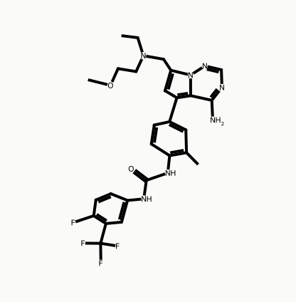 CCN(CCOC)Cc1cc(-c2ccc(NC(=O)Nc3ccc(F)c(C(F)(F)F)c3)c(C)c2)c2c(N)ncnn12